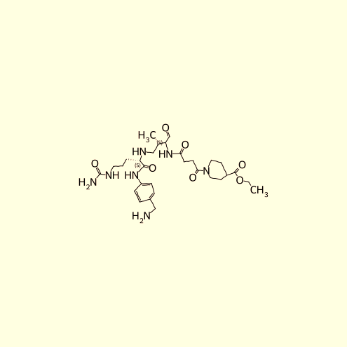 CCOC(=O)C1CCN(C(=O)CCC(=O)NC(C=O)[C@@H](C)CN[C@@H](CCCNC(N)=O)C(=O)Nc2ccc(CN)cc2)CC1